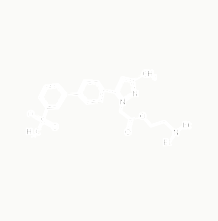 CCN(CC)CCOC(=O)Cn1nc(C)cc1-c1ccc(-c2cccc(S(C)(=O)=O)c2)cc1